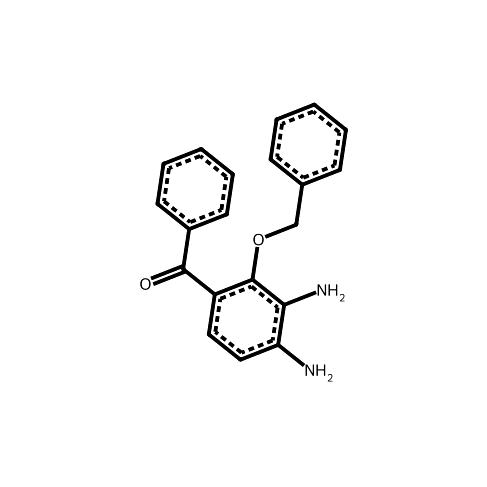 Nc1ccc(C(=O)c2ccccc2)c(OCc2ccccc2)c1N